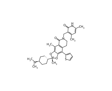 Cc1cc(C)c(CN2CCc3c(c(C)c4c(c3-c3cccs3)O[C@](C)([C@H]3CC[C@H](N(C)C)CC3)O4)C2=O)c(=O)[nH]1